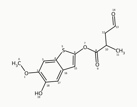 COc1cc2sc(OC(=O)C(C)CC=O)cc2cc1O